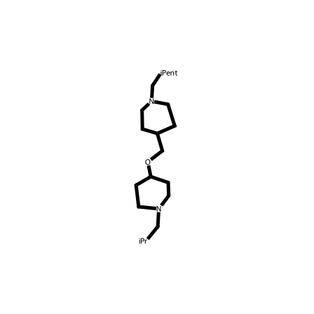 CCCC(C)CN1CCC(COC2CCN(CC(C)C)CC2)CC1